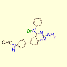 Nc1nc(N(Br)c2ccccc2)c2cc(-c3ccc(NC=O)cc3)ccc2n1